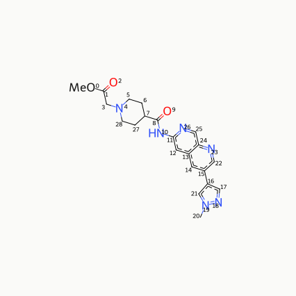 COC(=O)CN1CCC(C(=O)Nc2cc3cc(-c4cnn(C)c4)cnc3cn2)CC1